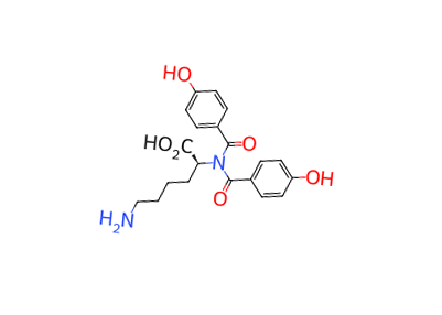 NCCCC[C@@H](C(=O)O)N(C(=O)c1ccc(O)cc1)C(=O)c1ccc(O)cc1